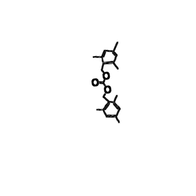 Cc1cc(C)c(COC(=O)OCc2c(C)cc(C)cc2C)c(C)c1